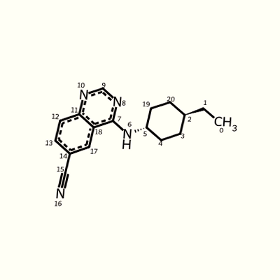 CC[C@H]1CC[C@H](Nc2ncnc3ccc(C#N)cc23)CC1